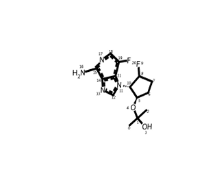 CC(C)(O)O[C@@H]1CCC(F)[C@H]1n1cnc2c(N)ncc(F)c21